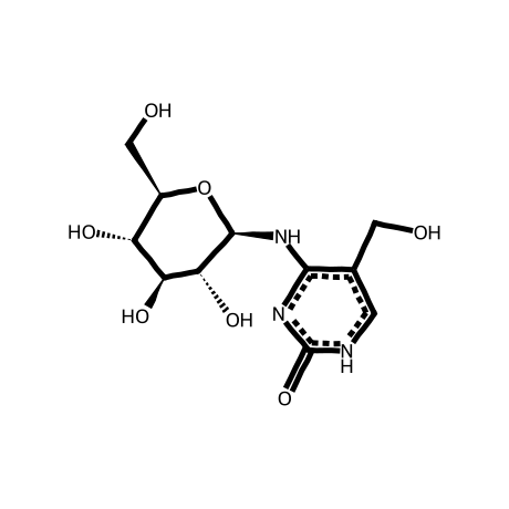 O=c1nc(N[C@@H]2O[C@H](CO)[C@@H](O)[C@H](O)[C@H]2O)c(CO)c[nH]1